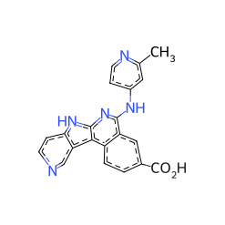 Cc1cc(Nc2nc3[nH]c4ccncc4c3c3ccc(C(=O)O)cc23)ccn1